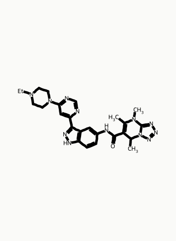 CCN1CCN(c2cc(-c3n[nH]c4ccc(NC(=O)C5=C(C)N(C)c6nnnn6C5C)cc34)ncn2)CC1